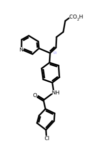 O=C(O)CCC/C=C(/c1ccc(NC(=O)c2ccc(Cl)cc2)cc1)c1cccnc1